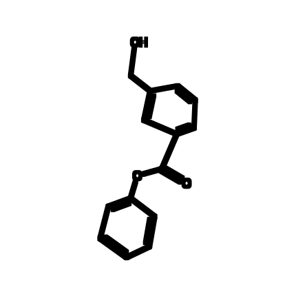 O=C(Oc1ccccc1)c1cccc(CO)c1